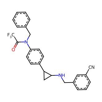 N#Cc1cccc(CNC2CC2c2ccc(N(Cc3ccccc3)C(=O)C(F)(F)F)cc2)c1